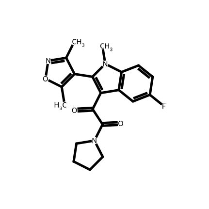 Cc1noc(C)c1-c1c(C(=O)C(=O)N2CCCC2)c2cc(F)ccc2n1C